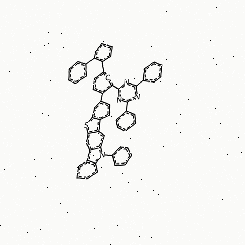 c1ccc(-c2nc(-c3ccccc3)nc(-c3cc(-c4ccccc4-c4ccccc4)ccc3-c3ccc4c(c3)sc3cc5c6ccccc6n(-c6ccccc6)c5cc34)n2)cc1